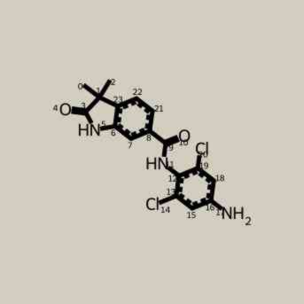 CC1(C)C(=O)Nc2cc(C(=O)Nc3c(Cl)cc(N)cc3Cl)ccc21